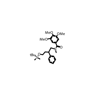 COc1cc(C(=O)N(C)CC(CCO[Si](C)(C)C(C)(C)C)c2ccccc2)cc(OC)c1OC